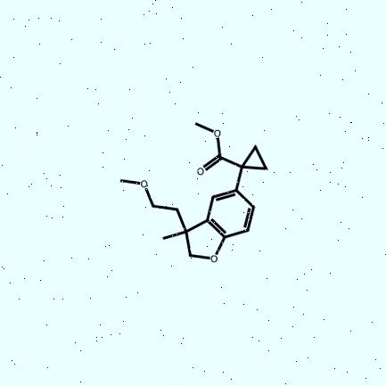 COCCC1(C)COc2ccc(C3(C(=O)OC)CC3)cc21